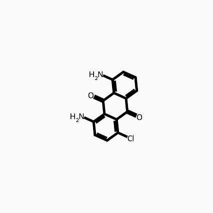 Nc1cccc2c1C(=O)c1c(N)ccc(Cl)c1C2=O